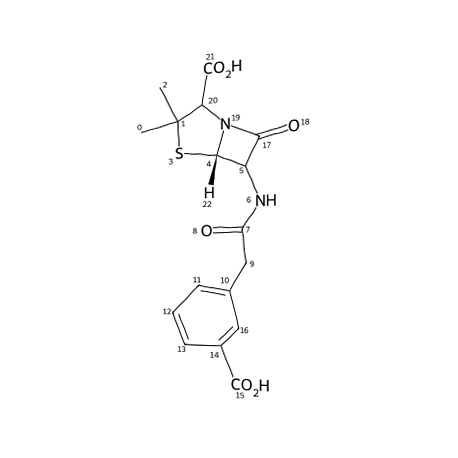 CC1(C)S[C@H]2C(NC(=O)Cc3cccc(C(=O)O)c3)C(=O)N2C1C(=O)O